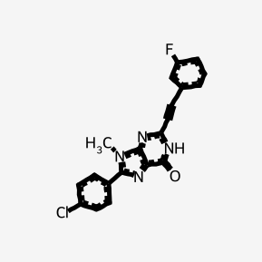 Cn1c(-c2ccc(Cl)cc2)nc2c(=O)[nH]c(C#Cc3cccc(F)c3)nc21